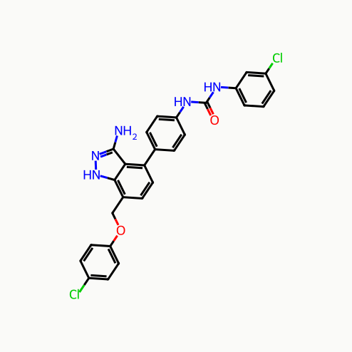 Nc1n[nH]c2c(COc3ccc(Cl)cc3)ccc(-c3ccc(NC(=O)Nc4cccc(Cl)c4)cc3)c12